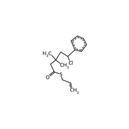 C=CCSC(=O)CC(C)(C)CC(Cl)c1ccccc1